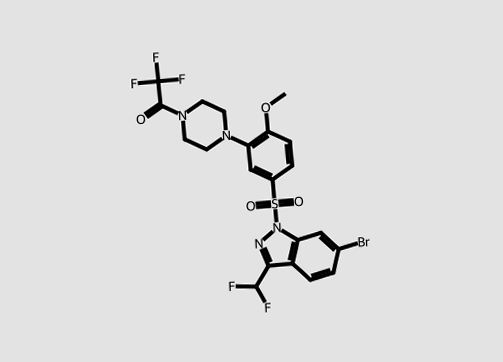 COc1ccc(S(=O)(=O)n2nc(C(F)F)c3ccc(Br)cc32)cc1N1CCN(C(=O)C(F)(F)F)CC1